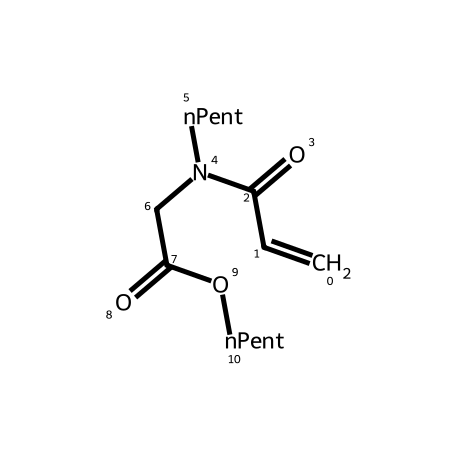 C=CC(=O)N(CCCCC)CC(=O)OCCCCC